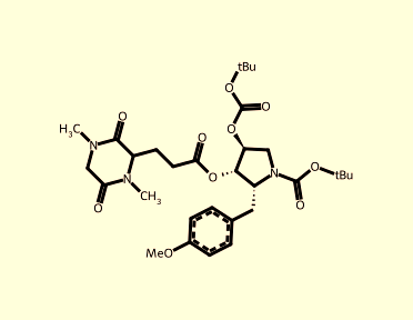 COc1ccc(C[C@@H]2[C@H](OC(=O)CCC3C(=O)N(C)CC(=O)N3C)[C@@H](OC(=O)OC(C)(C)C)CN2C(=O)OC(C)(C)C)cc1